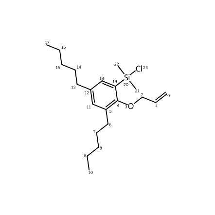 C=CCOc1c(CCCCC)cc(CCCCC)cc1[Si](C)(C)Cl